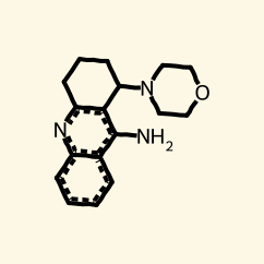 Nc1c2c(nc3ccccc13)CCCC2N1CCOCC1